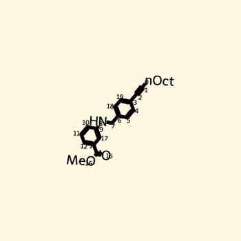 CCCCCCCCC#Cc1ccc(CNc2cccc(C(=O)OC)c2)cc1